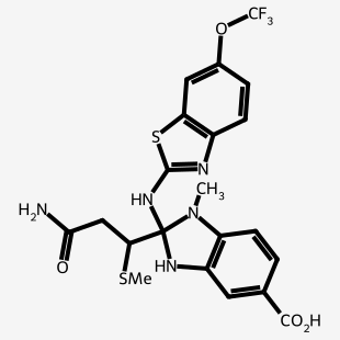 CSC(CC(N)=O)C1(Nc2nc3ccc(OC(F)(F)F)cc3s2)Nc2cc(C(=O)O)ccc2N1C